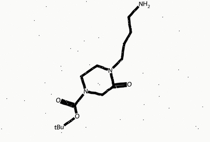 CC(C)(C)OC(=O)N1CCN(CCCCN)C(=O)C1